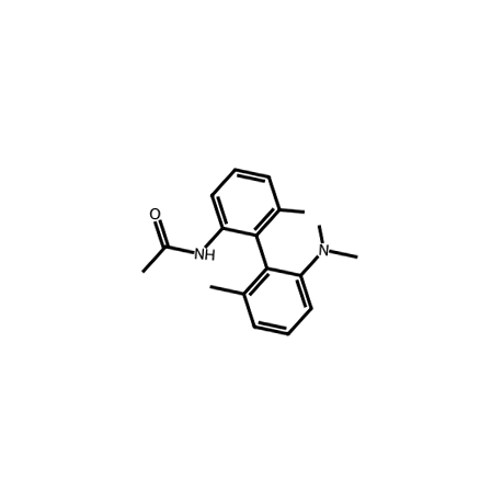 CC(=O)Nc1cccc(C)c1-c1c(C)cccc1N(C)C